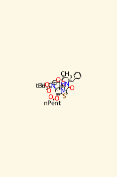 C=CCOC(=O)[C@@H](C)C[C@H](Cc1ccccc1)NC(=O)c1csc([C@@H](C[C@H](C(C)C)N(C)C(=O)OC(C)(C)C)OC(=O)CCCCC)n1